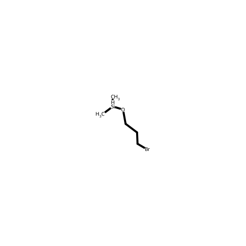 C[SiH](C)OCCCBr